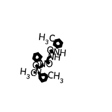 Cc1cccc(NC(=O)NCC(=O)N(CC(=O)N(C)c2cccc(C)c2)c2ccccc2)c1